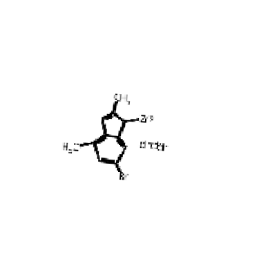 CC1=Cc2c(C)cc(Br)cc2[CH]1[Zr+3].[Cl-].[Cl-].[Cl-]